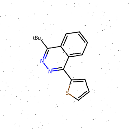 CC(C)(C)c1nnc(-c2cccs2)c2ccccc12